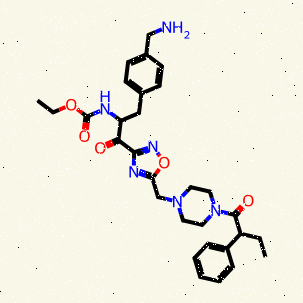 CCOC(=O)NC(Cc1ccc(CN)cc1)C(=O)c1noc(CN2CCN(C(=O)C(CC)c3ccccc3)CC2)n1